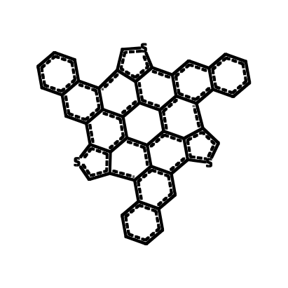 c1ccc2c(c1)cc1c3scc4c5c6ccccc6cc6c7scc8c9c%10ccccc%10cc%10c%11scc%12c2c1c1c(c43)c(c65)c(c87)c(c%109)c1c%12%11